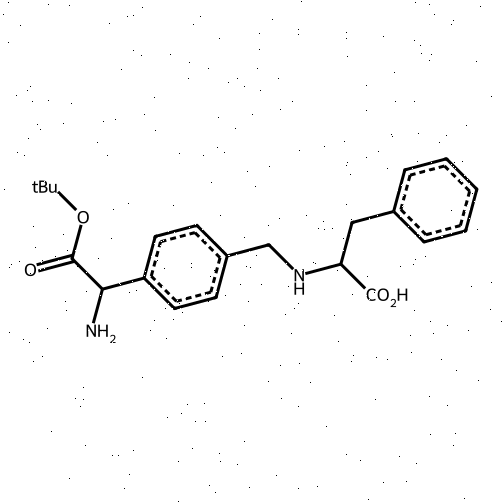 CC(C)(C)OC(=O)C(N)c1ccc(CNC(Cc2ccccc2)C(=O)O)cc1